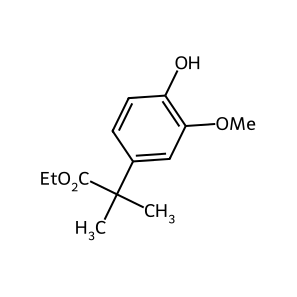 CCOC(=O)C(C)(C)c1ccc(O)c(OC)c1